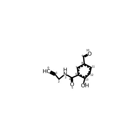 C#CCNC(=O)c1cc(C=O)ccc1O